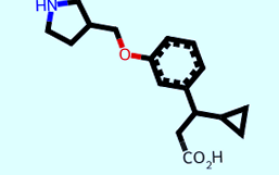 O=C(O)CC(c1cccc(OCC2CCNC2)c1)C1CC1